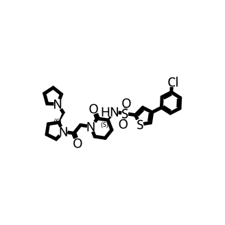 O=C1[C@@H](NS(=O)(=O)c2cc(-c3cccc(Cl)c3)cs2)CCCN1CC(=O)N1CCC[C@H]1CN1CCCC1